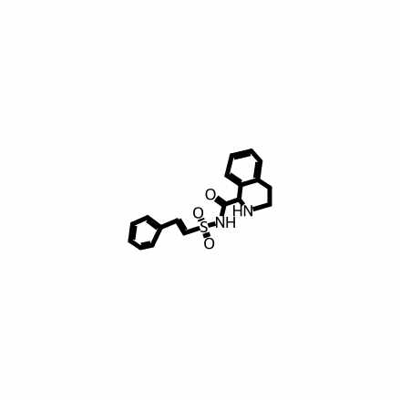 O=C(NS(=O)(=O)C=Cc1ccccc1)C1NCCc2ccccc21